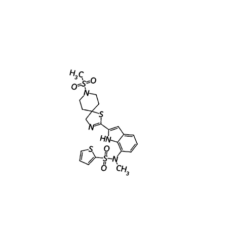 CN(c1cccc2cc(C3=NCC4(CCN(S(C)(=O)=O)CC4)S3)[nH]c12)S(=O)(=O)c1cccs1